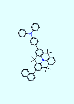 CC1(C)C2=C3C(CC=C2)C(C)(C)c2cc(-c4cccc5ccccc45)cc4c2N3c2c1cc(-c1ccc(N(c3ccccc3)c3ccccc3)cc1)cc2C4(C)C